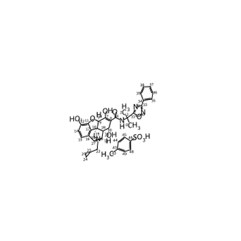 CC(C)(NC(=O)C1=C(O)[C@@H]2Oc3c(O)ccc4c3[C@@]23CCN(CC2CC2)[C@H](C4)[C@]3(O)C1)c1nc(-c2ccccc2)no1.Cc1ccc(S(=O)(=O)O)cc1